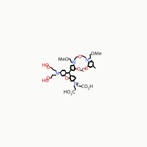 COCCN1CCOCCN(CCOC)c2ccc(C3=C4C=CC(N(CCCOO)CCCOO)C=C4Oc4cc(N(CCC(=O)O)CCC(=O)O)ccc43)cc2OCCOc2cc(C)ccc21